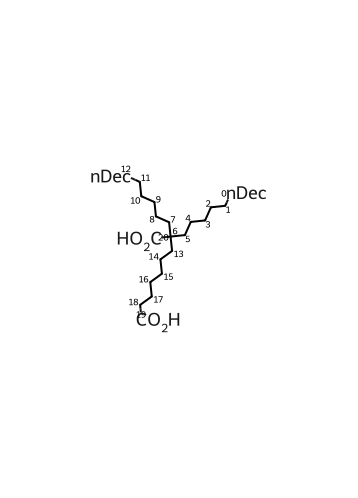 CCCCCCCCCCCCCCCC(CCCCCCCCCCCCCCC)(CCCCCCC(=O)O)C(=O)O